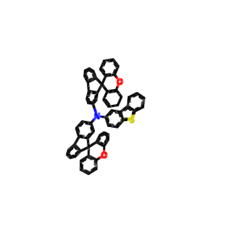 C1=CC2=C(CC1)Oc1ccccc1C21c2ccccc2-c2ccc(N(c3ccc4c(c3)C3(c5ccccc5Oc5ccccc53)c3ccccc3-4)c3ccc4sc5ccccc5c4c3)cc21